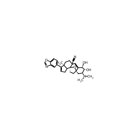 CN(C)[C@H]1C[C@@]23CC[C@]4(O2)C2CC=C(c5ccc6ocnc6c5)[C@@]2(C)CCC4(C#N)C=C3[C@@H](O)[C@@H]1O